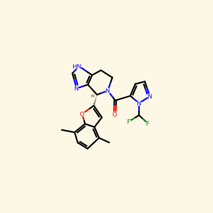 Cc1ccc(C)c2oc([C@@H]3c4nc[nH]c4CCN3C(=O)c3ccnn3C(F)F)cc12